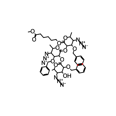 COC(=O)CCCCCO[C@H]1OC(C)C(N=[N+]=[N-])C(OCc2ccccc2)C1O[C@H]1OC(C)C(N=[N+]=[N-])C(OCc2ccccc2)C1O[C@H]1OC(C)C(N=[N+]=[N-])C(O)C1OCc1ccccc1